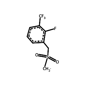 [CH2]S(=O)(=O)Cc1cccc(C(F)(F)F)c1F